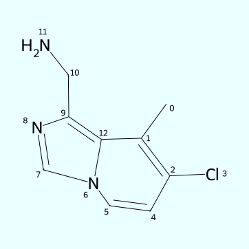 Cc1c(Cl)ccn2cnc(CN)c12